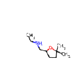 CCNCC1CCC(C)(C)O1